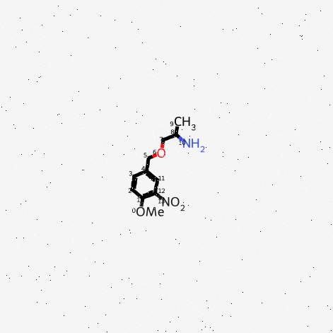 COc1ccc(COCC(C)N)cc1[N+](=O)[O-]